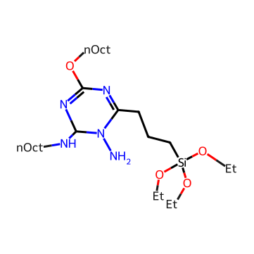 CCCCCCCCNC1N=C(OCCCCCCCC)N=C(CCC[Si](OCC)(OCC)OCC)N1N